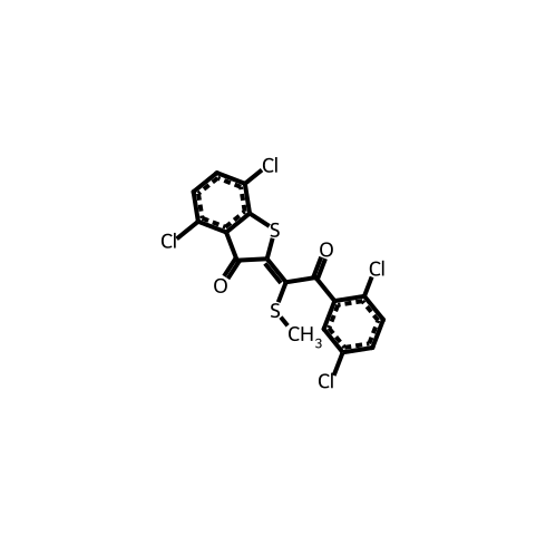 CS/C(C(=O)c1cc(Cl)ccc1Cl)=C1/Sc2c(Cl)ccc(Cl)c2C1=O